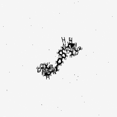 COC(=O)N[C@H](C(=O)N1C(c2nc(-c3cccc4c(-c5ccc(-c6cnc(C7C[C@H]8C[C@H]8N7C(=O)[C@@H](NC(=O)OC)C(C)C)[nH]6)cc5)cccc34)c[nH]2)C[C@H]2C[C@H]21)C(C)C